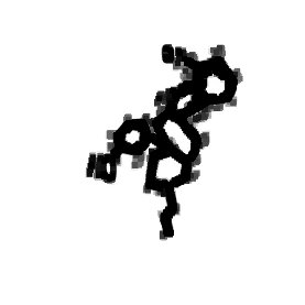 C=CCN1CCC2(c3cccc(O)c3)Cc3[nH]c4c([N+](=O)[O-])cccc4c3CC2C1